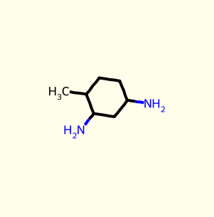 CC1CCC(N)CC1N